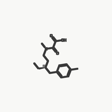 CC[C@H](CCN(C)C(=O)C(=O)O)Cc1ccc(C)cc1